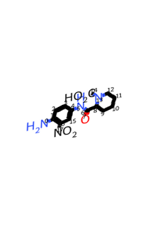 Nc1ccc(NC(=O)C2CCCCN2C(=O)O)cc1[N+](=O)[O-]